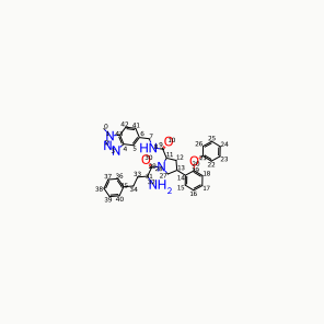 Cn1nnc2cc(CNC(=O)C3CC(c4ccccc4Oc4ccccc4)CN3C(=O)C(N)CCc3ccccc3)ccc21